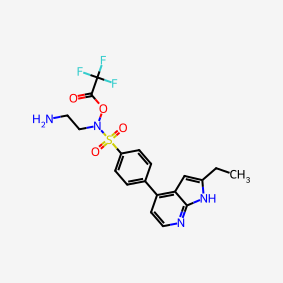 CCc1cc2c(-c3ccc(S(=O)(=O)N(CCN)OC(=O)C(F)(F)F)cc3)ccnc2[nH]1